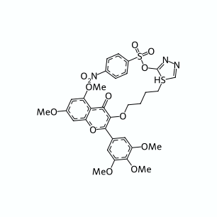 COc1cc(OC)c2c(=O)c(OCCCC[SH]3C=NN=C3OS(=O)(=O)c3ccc([N+](=O)[O-])cc3)c(-c3cc(OC)c(OC)c(OC)c3)oc2c1